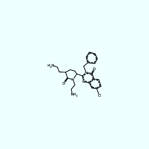 NCCC1CCC(c2nc3cc(Cl)ccc3c(=O)n2Cc2ccccc2)N(CCN)C1=O